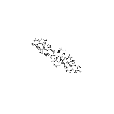 c1cc2ccc3oc4cc(-c5c6ccccc6c(-c6cc7ccc8oc9cccc%10ccc%11oc(c6)c7c8-c%11c%109)c6ccccc56)cc5ccc6oc(c1)c2c3-c6c54